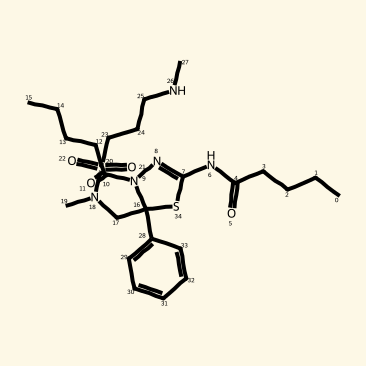 CCCCC(=O)NC1=NN(C(=O)CCCC)C(CN(C)S(=O)(=O)CCCNC)(c2ccccc2)S1